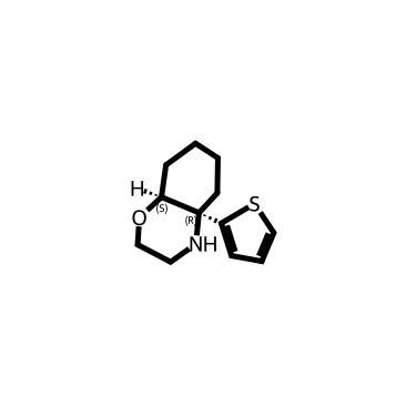 c1csc([C@@]23CCCC[C@@H]2OCCN3)c1